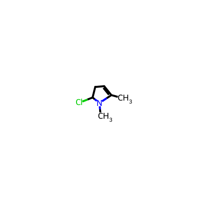 CC1=CCC(Cl)N1C